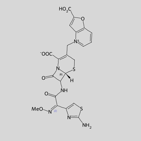 CO/N=C(\C(=O)NC1C(=O)N2C(C(=O)[O-])=C(C[n+]3cccc4oc(C(=O)O)cc43)CS[C@H]12)c1csc(N)n1